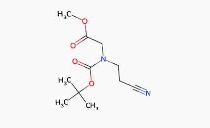 COC(=O)CN(CCC#N)C(=O)OC(C)(C)C